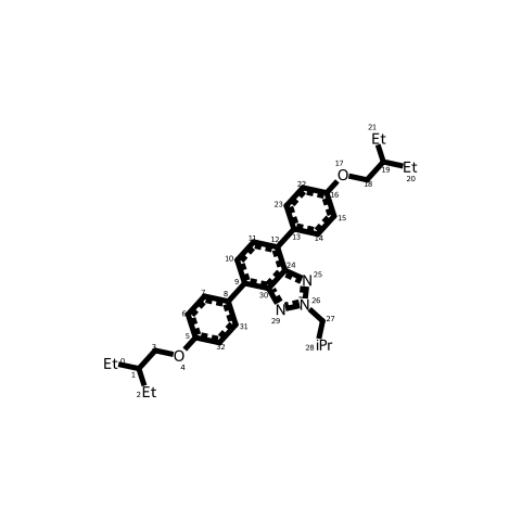 CCC(CC)COc1ccc(-c2ccc(-c3ccc(OCC(CC)CC)cc3)c3nn(CC(C)C)nc23)cc1